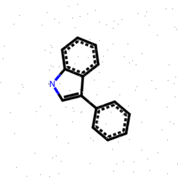 C1=C(c2ccccc2)c2ccccc2[N]1